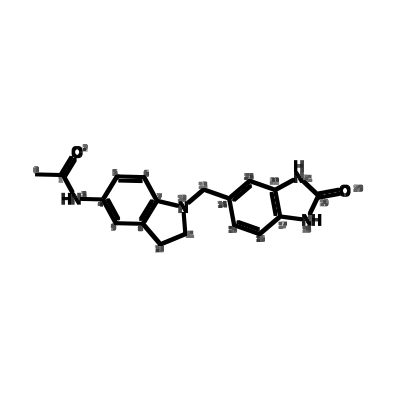 CC(=O)Nc1ccc2c(c1)CCN2Cc1ccc2[nH]c(=O)[nH]c2c1